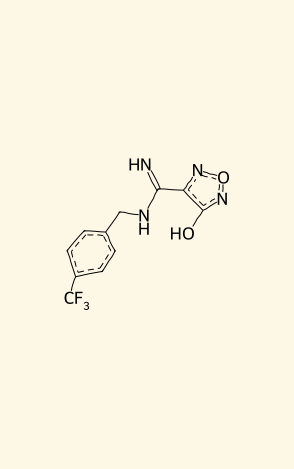 N=C(NCc1ccc(C(F)(F)F)cc1)c1nonc1O